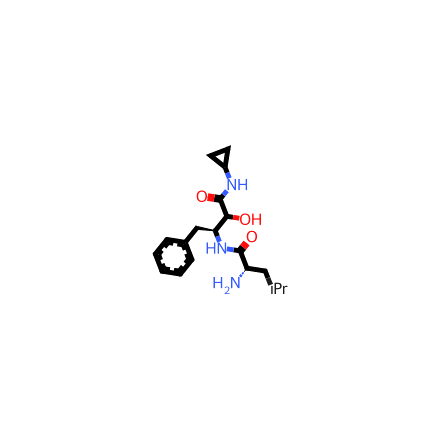 CC(C)C[C@H](N)C(=O)N[C@@H](Cc1ccccc1)C(O)C(=O)NC1CC1